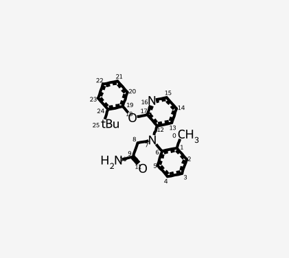 Cc1ccccc1N(CC(N)=O)c1cccnc1Oc1ccccc1C(C)(C)C